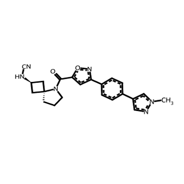 Cn1cc(-c2ccc(-c3cc(C(=O)N4CCC[C@]45C[C@H](NC#N)C5)on3)cc2)cn1